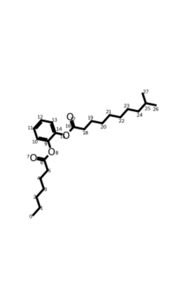 CCCCCCC(=O)Oc1ccccc1OC(=O)CCCCCCCC(C)C